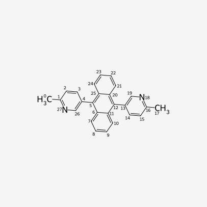 Cc1ccc(-c2c3ccccc3c(-c3ccc(C)nc3)c3ccccc23)cn1